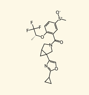 C[C@@H](Oc1ccc([S+](C)[O-])cc1C(=O)N1CC2CC2(c2coc(C3CC3)n2)C1)C(F)(F)F